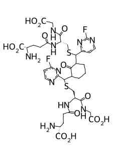 N[C@H](CCC(=O)N[C@@H](CSC(c1nccc(F)n1)C1CCCC(C(SC[C@H](NC(=O)CC[C@H](N)C(=O)O)C(=O)NCC(=O)O)c2ccnc(F)n2)C1=O)C(=O)NCC(=O)O)C(=O)O